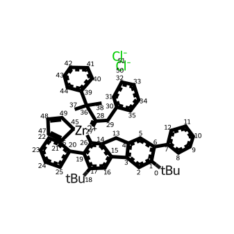 CC(C)(C)c1cc2c(cc1-c1ccccc1)Cc1c-2cc(C(C)(C)C)c(-c2ccccc2)[c]1[Zr+2](=[C](Cc1ccccc1)C(C)(C)c1ccccc1)[CH]1C=CC=C1.[Cl-].[Cl-]